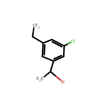 FC(F)(F)Cc1cc(Cl)cc(C(Br)C(F)(F)F)c1